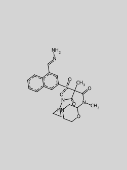 CN(C(=O)C(C)(C(=O)[N]C1CC1)S(=O)(=O)c1cc(C=NN)c2ccccc2c1)C1CNCCO1